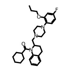 CCCOc1cc(F)ccc1N1CCN(CC2CCc3ccccc3N2C(=O)C2CCCCC2)CC1